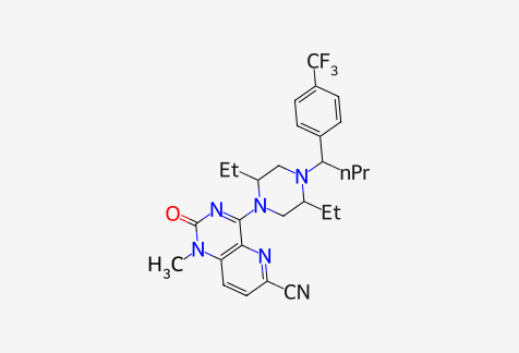 CCCC(c1ccc(C(F)(F)F)cc1)N1CC(CC)N(c2nc(=O)n(C)c3ccc(C#N)nc23)CC1CC